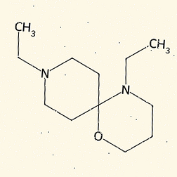 CCN1CCC2(CC1)OCCCN2CC